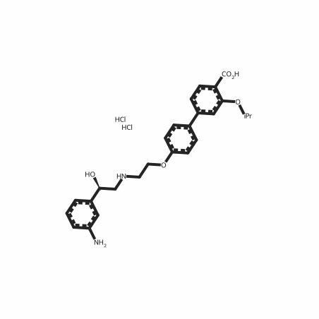 CC(C)Oc1cc(-c2ccc(OCCNC[C@H](O)c3cccc(N)c3)cc2)ccc1C(=O)O.Cl.Cl